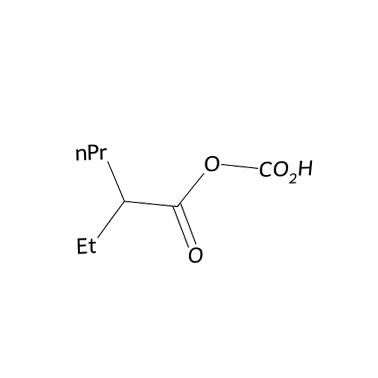 CCCC(CC)C(=O)OC(=O)O